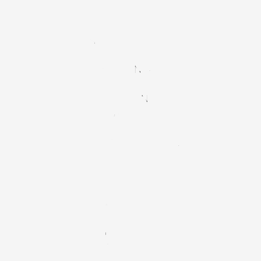 CSc1cc(-c2ccc(Cl)cc2F)nn1C